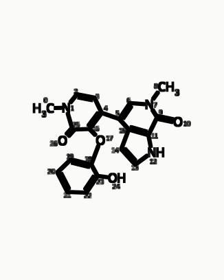 Cn1ccc(-c2cn(C)c(=O)c3[nH]ccc23)c(Oc2ccccc2O)c1=O